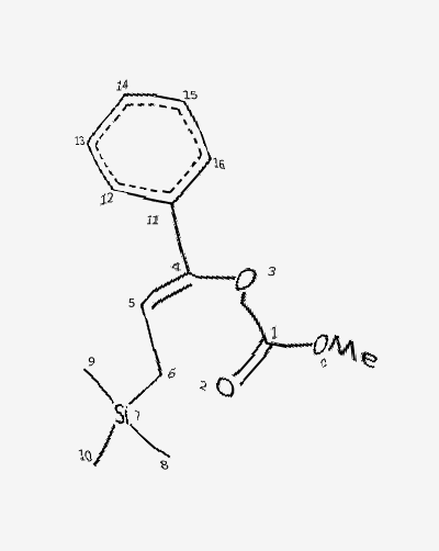 COC(=O)OC(=CC[Si](C)(C)C)c1ccccc1